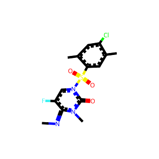 C/N=c1\c(F)cn(S(=O)(=O)c2cc(C)c(Cl)cc2C)c(=O)n1C